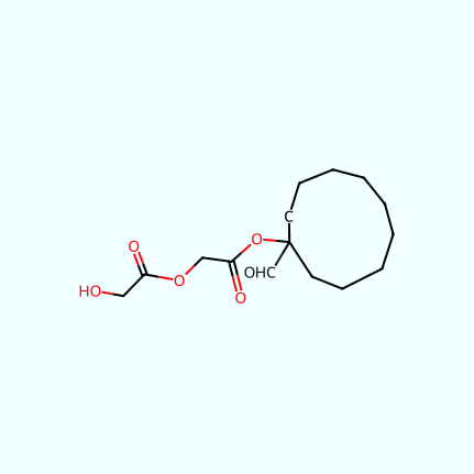 O=CC1(OC(=O)COC(=O)CO)CCCCCCCCC1